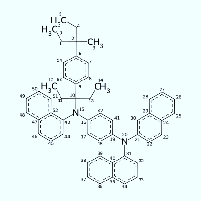 CCC(C)(CC)c1ccc(C(CC)(CC)N(c2ccc(N(c3ccc4ccccc4c3)c3cccc4ccccc34)cc2)c2cccc3ccccc23)cc1